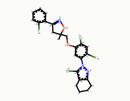 CC1(COc2cc(-n3nc4c(c3Cl)CCCC4)c(F)cc2Cl)CC(c2ccccc2F)=NO1